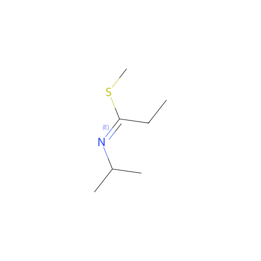 CC/C(=N\C(C)C)SC